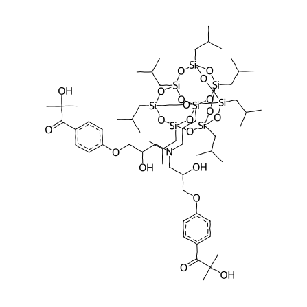 CC(C)C[Si]12O[Si]3(CCCN(CC(O)COc4ccc(C(=O)C(C)(C)O)cc4)CC(O)COc4ccc(C(=O)C(C)(C)O)cc4)O[Si]4(CC(C)C)O[Si](CC(C)C)(O1)O[Si]1(CC(C)C)O[Si](CC(C)C)(O2)O[Si](CC(C)C)(O3)O[Si](CC(C)C)(O4)O1